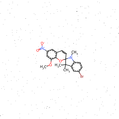 COc1cc([N+](=O)[O-])cc2c1OC1(C=C2)N(C)c2ccc(Br)cc2C1(C)C